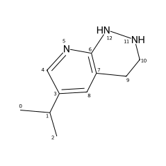 CC(C)c1cnc2c(c1)CCNN2